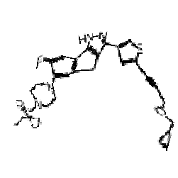 CS(=O)(=O)N1CCN(c2cc3c(cc2F)-c2[nH]nc(-c4csc(C#CCOCC5CC5)c4)c2C3)CC1